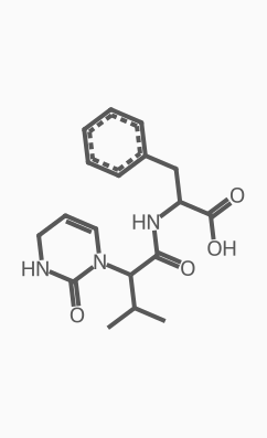 CC(C)C(C(=O)NC(Cc1ccccc1)C(=O)O)N1C=CCNC1=O